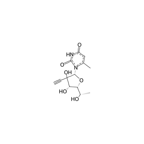 C#CC1(O)[C@@H](O)[C@@H]([C@H](C)O)O[C@H]1n1c(C)cc(=O)[nH]c1=O